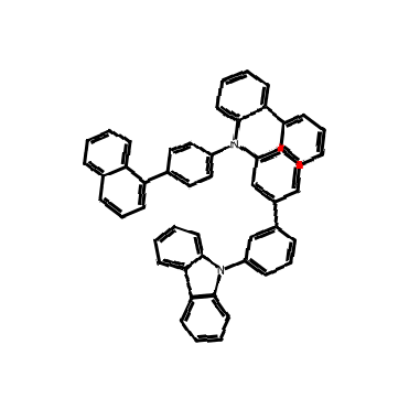 c1ccc(-c2ccccc2N(c2ccc(-c3cccc4ccccc34)cc2)c2cccc(-c3cccc(-n4c5ccccc5c5ccccc54)c3)c2)cc1